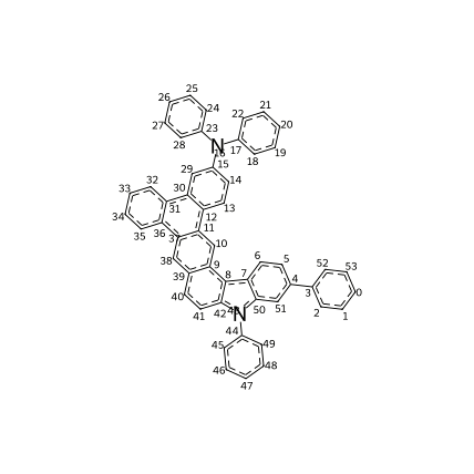 c1ccc(-c2ccc3c4c5cc6c7ccc(N(c8ccccc8)c8ccccc8)cc7c7ccccc7c6cc5ccc4n(-c4ccccc4)c3c2)cc1